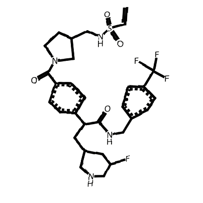 C=CS(=O)(=O)NCC1CCN(C(=O)c2ccc(C(CC3CNCC(F)C3)C(=O)NCc3ccc(C(F)(F)F)cc3)cc2)C1